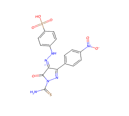 NC(=S)N1N=C(c2ccc([N+](=O)[O-])cc2)/C(=N\Nc2ccc(S(=O)(=O)O)cc2)C1=O